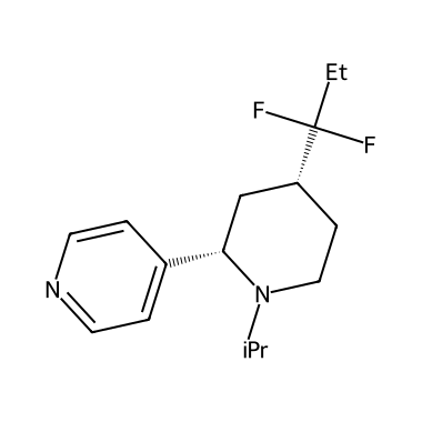 CCC(F)(F)[C@@H]1CCN(C(C)C)[C@H](c2ccncc2)C1